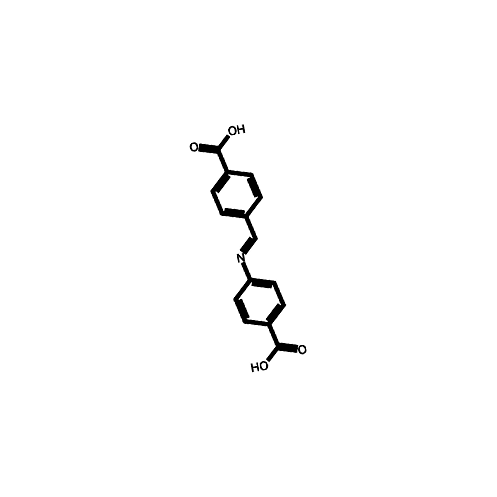 O=C(O)c1ccc(C=Nc2ccc(C(=O)O)cc2)cc1